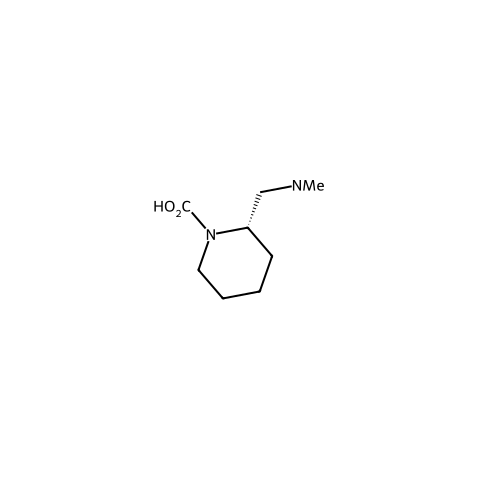 CNC[C@@H]1CCCCN1C(=O)O